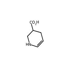 O=C(O)C1CC=CNC1